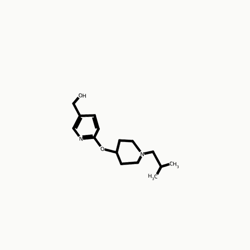 CC(C)CN1CCC(Oc2ccc(CO)cn2)CC1